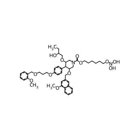 CCC(O)COC1CN(C(=O)OCCCCCCON(O)O)CC(OCc2cc(OC)c3ccccc3c2)C1c1ccc(OCCCOCc2ccccc2OC)cc1